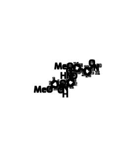 COc1cccc(S(=O)(=O)Nc2cccc(NS(=O)(=O)c3cc(-c4cccc(C(=O)N(C)C)c4)ccc3OC)c2)c1